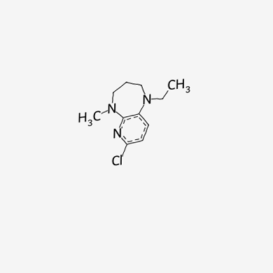 CCN1CCCN(C)c2nc(Cl)ccc21